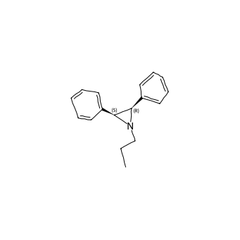 CCCN1[C@H](c2ccccc2)[C@@H]1c1ccccc1